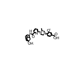 CC1CN(c2ccc(C(=O)O)cc2Cl)CCN1c1cccc(C(=O)NC2C3CC4CC2CC(O)(C4)C3)n1